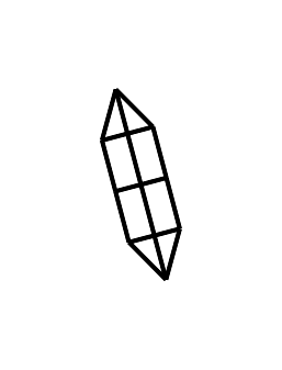 C12C3C1C1C4C1C3C24